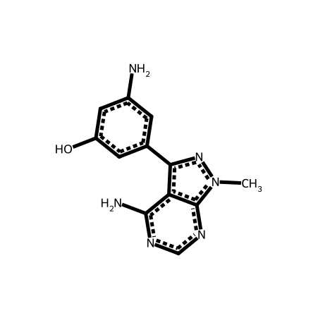 Cn1nc(-c2cc(N)cc(O)c2)c2c(N)ncnc21